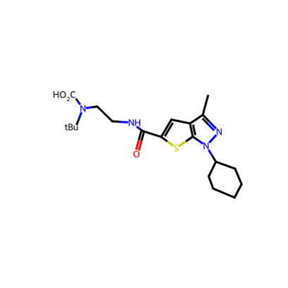 Cc1nn(C2CCCCC2)c2sc(C(=O)NCCN(C(=O)O)C(C)(C)C)cc12